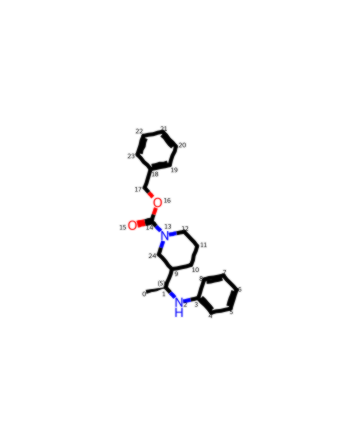 C[C@H](Nc1ccccc1)C1CCCN(C(=O)OCc2ccccc2)C1